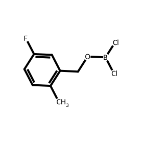 Cc1ccc(F)cc1COB(Cl)Cl